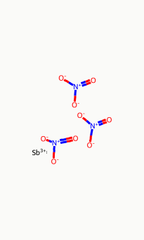 O=[N+]([O-])[O-].O=[N+]([O-])[O-].O=[N+]([O-])[O-].[Sb+3]